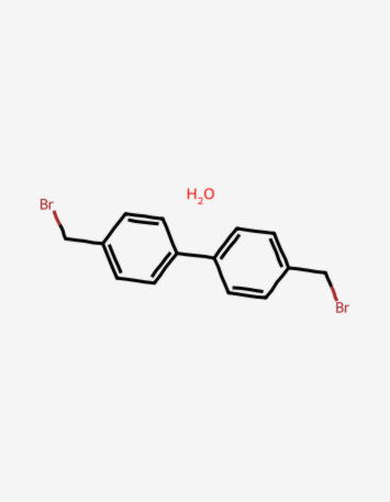 BrCc1ccc(-c2ccc(CBr)cc2)cc1.O